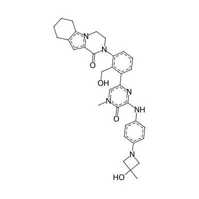 Cn1cc(-c2cccc(N3CCn4c(cc5c4CCCC5)C3=O)c2CO)nc(Nc2ccc(N3CC(C)(O)C3)cc2)c1=O